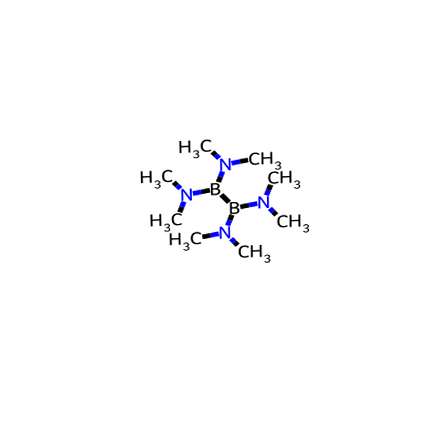 CN(C)B(B(N(C)C)N(C)C)N(C)C